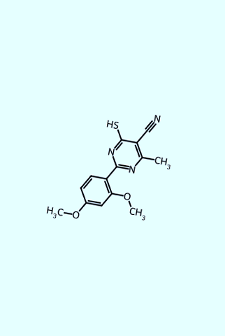 COc1ccc(-c2nc(C)c(C#N)c(S)n2)c(OC)c1